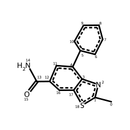 Cc1nc2c(-c3ccccc3)cc(C(N)=O)cc2s1